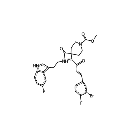 COC(=O)N1CCC(NC(=O)C=Cc2ccc(F)c(Br)c2)(C(=O)NCCc2c[nH]c3ccc(F)cc23)CC1